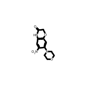 O=C1COc2cc(N3CCOCC3)c([N+](=O)[O-])cc2N1